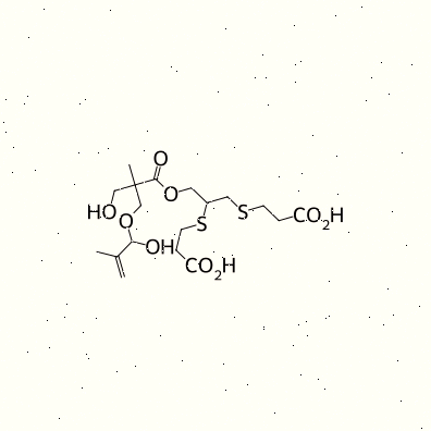 C=C(C)C(O)OCC(C)(CO)C(=O)OCC(CSCCC(=O)O)SCCC(=O)O